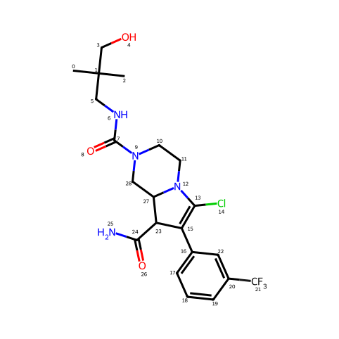 CC(C)(CO)CNC(=O)N1CCN2C(Cl)=C(c3cccc(C(F)(F)F)c3)C(C(N)=O)C2C1